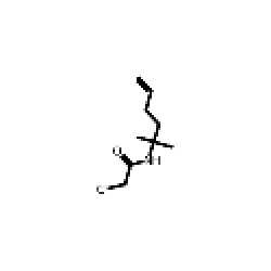 C=CCCC(C)(C)NC(=O)CCl